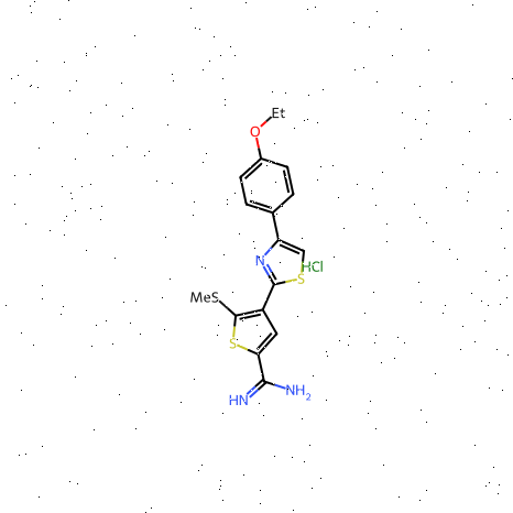 CCOc1ccc(-c2csc(-c3cc(C(=N)N)sc3SC)n2)cc1.Cl